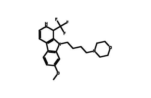 COc1ccc2c3c(n(CCCCN4CCOCC4)c2c1)C(C(F)(F)F)NC=C3